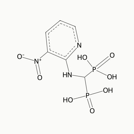 O=[N+]([O-])c1cccnc1NC(P(=O)(O)O)P(=O)(O)O